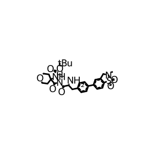 CN1Cc2cc(-c3ccc(C[C@H](N)C(=O)NC(=O)C4(NC(=O)OC(C)(C)C)CCOCC4)cc3)ccc2S1(=O)=O